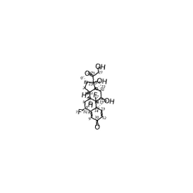 C[C@H]1C[C@H]2[C@@H]3C[C@H](F)C4=CC(=O)C=C[C@]4(C)[C@@]3(F)C(O)C[C@]2(C)[C@@]1(O)C(=O)CO